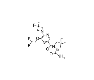 NC(=O)[C@@H]1CC(F)(F)CN1C(=O)c1cnc(N2CC(F)(F)C2)c(OCC(F)F)n1